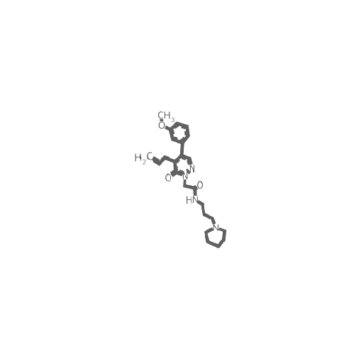 C=CCc1c(-c2cccc(OC)c2)cnn(CC(=O)NCCCN2CCCCC2)c1=O